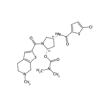 CN1CCc2cc(C(=O)N3C[C@H](NC(=O)c4ccc(Cl)s4)C[C@@H]3OC(=O)N(C)C)sc2C1